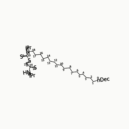 CCCCCCCCCCCCCCCCCCCCCCCCCCCCN(C(=S)SSC(=S)NC(C)C)C(C)C